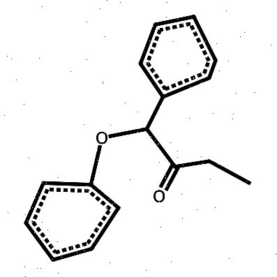 CCC(=O)C(Oc1ccccc1)c1ccccc1